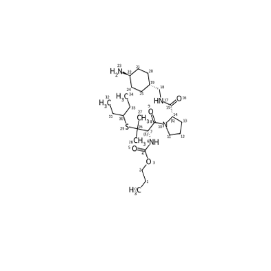 CCCOC(=O)N[C@@H](C(=O)N1CCC[C@H]1C(=O)NC[C@H]1CC[C@H](N)CC1)C(C)(C)SC(CC)CC